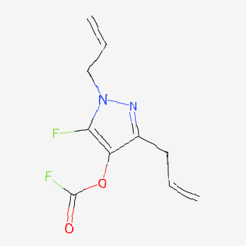 C=CCc1nn(CC=C)c(F)c1OC(=O)F